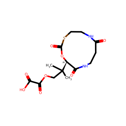 CC(C)(COC(=O)C(=O)O)[C@H]1OC(=O)SCCNC(=O)CCNC1=O